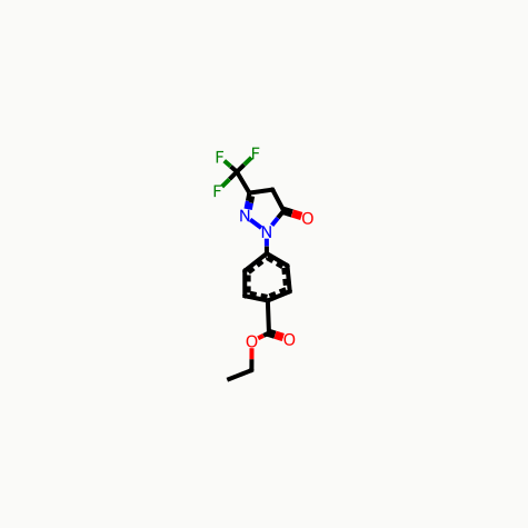 CCOC(=O)c1ccc(N2N=C(C(F)(F)F)CC2=O)cc1